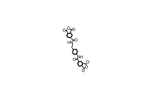 O=C(NCCc1ccc(NC(=O)c2ccc3c(c2)C(=O)OC3=O)cc1)c1ccc2c(c1)C(=O)OC2=O